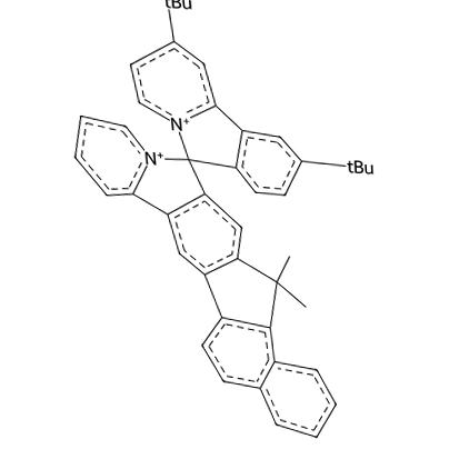 CC(C)(C)c1ccc2c(c1)-c1cc(C(C)(C)C)cc[n+]1C21c2cc3c(cc2-c2cccc[n+]21)-c1ccc2ccccc2c1C3(C)C